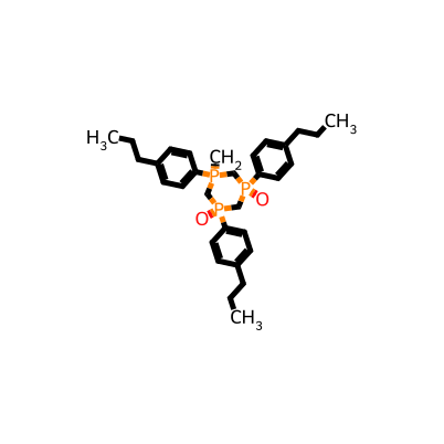 C=P1(c2ccc(CCC)cc2)CP(=O)(c2ccc(CCC)cc2)CP(=O)(c2ccc(CCC)cc2)C1